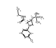 CC(C)(C)[Si](C)(C)O[C@H]1CN(c2cncc(Cl)n2)[C@@H]1C(=O)NCC(F)(F)F